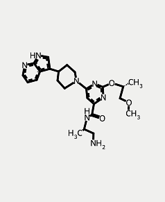 COC[C@@H](C)Oc1nc(C(=O)N[C@H](C)CN)cc(N2CCC(c3c[nH]c4ncccc34)CC2)n1